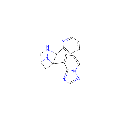 c1ccc(C2NCC3CC2(c2cccn4ncnc24)N3)nc1